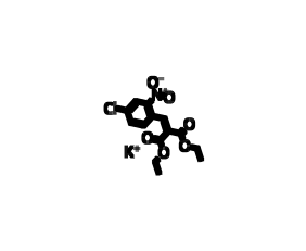 CCOC(=O)C(=Cc1ccc(Cl)cc1[N+](=O)[O-])C(=O)OCC.[K+]